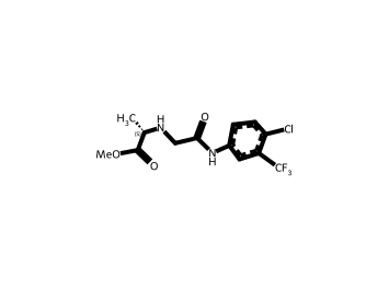 COC(=O)[C@H](C)NCC(=O)Nc1ccc(Cl)c(C(F)(F)F)c1